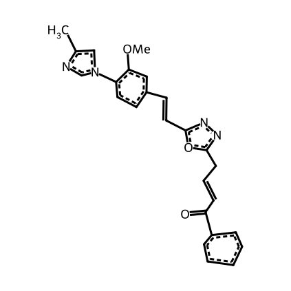 COc1cc(C=Cc2nnc(CC=CC(=O)c3ccccc3)o2)ccc1-n1cnc(C)c1